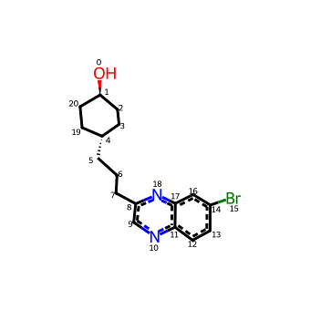 O[C@H]1CC[C@H](CCCc2cnc3ccc(Br)cc3n2)CC1